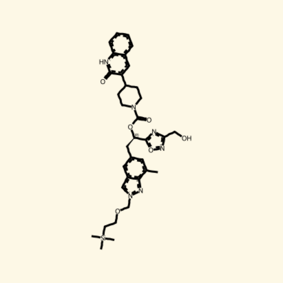 Cc1cc(C[C@@H](OC(=O)N2CCC(c3cc4ccccc4[nH]c3=O)CC2)c2nc(CO)no2)cc2cn(COCC[Si](C)(C)C)nc12